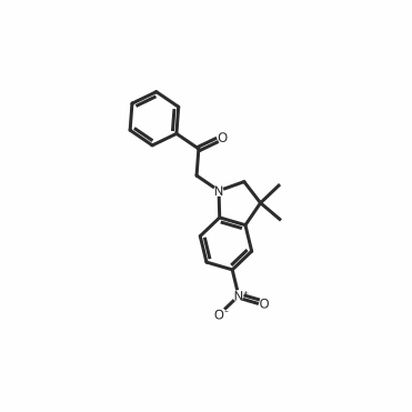 CC1(C)CN(CC(=O)c2ccccc2)c2ccc([N+](=O)[O-])cc21